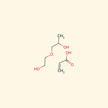 C=CC(=O)O.CC(O)COCCO